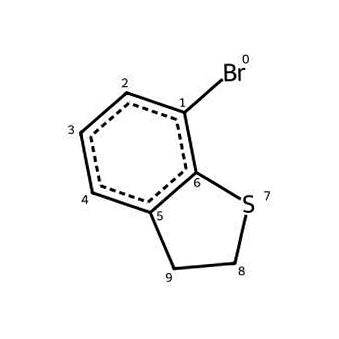 Brc1cccc2c1SCC2